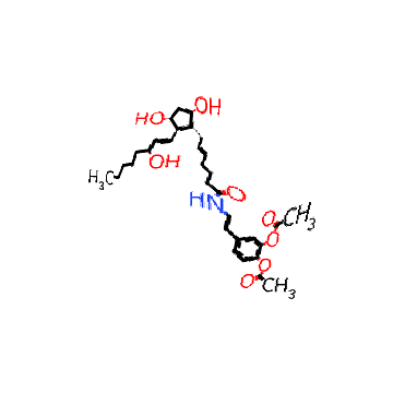 CCCCC[C@H](O)C=C[C@@H]1[C@@H](CC=CCCCC(=O)NCCc2ccc(OC(C)=O)c(OC(C)=O)c2)[C@@H](O)C[C@H]1O